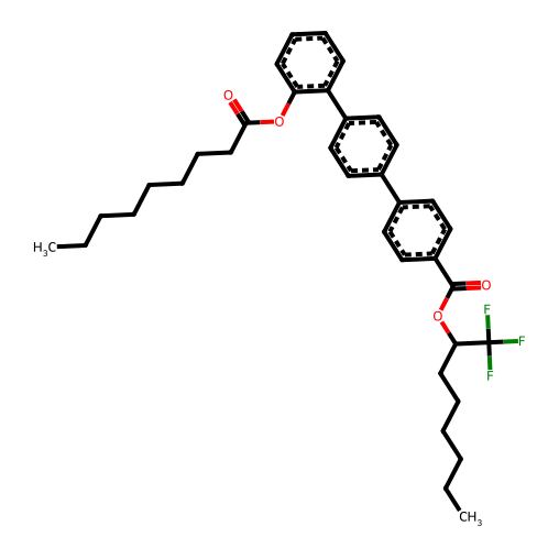 CCCCCCCCC(=O)Oc1ccccc1-c1ccc(-c2ccc(C(=O)OC(CCCCCC)C(F)(F)F)cc2)cc1